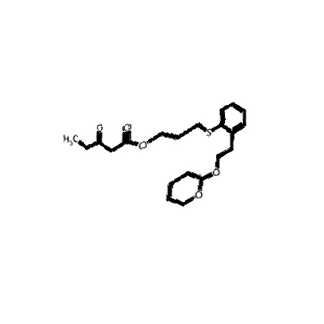 CCC(=O)CC(=O)OCCCSc1ccccc1CCOC1CCCCO1